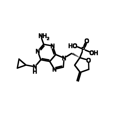 C=C1CO[C@](Cn2cnc3c(NC4CC4)nc(N)nc32)(P(=O)(O)O)C1